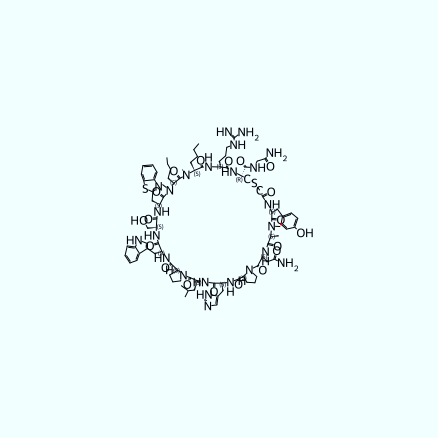 CCCC[C@H]1C(=O)N(C)[C@@H](CCCC)C(=O)N[C@@H](CCCNC(=N)N)C(=O)N[C@H](C(=O)NCC(N)=O)CSCC(=O)N[C@@H](Cc2ccc(O)cc2)C(=O)N(C)[C@@H](C)C(=O)N[C@@H](CC(N)=O)C(=O)N2CCC[C@H]2C(=O)N[C@@H](Cc2cnc[nH]2)C(=O)N[C@@H](CC(C)C)C(=O)N2CCC[C@H]2C(=O)N[C@@H](Cc2c[nH]c3ccccc23)C(=O)N[C@@H](CO)C(=O)N[C@@H](Cc2nc3ccccc3s2)C(=O)N1C